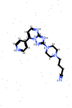 N#CCCCN1CCN(c2nc3nccc(-c4ccncc4)n3n2)CC1